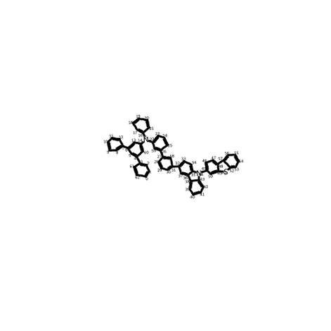 c1ccc(-c2cc(-c3ccccc3)cc(N(c3ccccc3)c3cccc(-c4cccc(-c5ccc6c(c5)c5ccccc5n6-c5ccc6c(c5)sc5ccccc56)c4)c3)c2)cc1